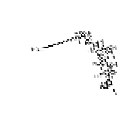 Cc1cc(=O)oc2cc(O[C@@H]3OC(CO)[C@@H](O[C@@H]4OC(CO)[C@H](O)C(O[C@]5(C(=O)O)C[C@@H](O)[C@@H](NC(=O)CNC(=O)CC[C@H](NC(=O)CCCCCCCCCCCCCCC(=O)O)C(=O)O)C(C(O)[C@H](O)CO)O5)[C@@H]4O)C(O)[C@@H]3O)ccc12